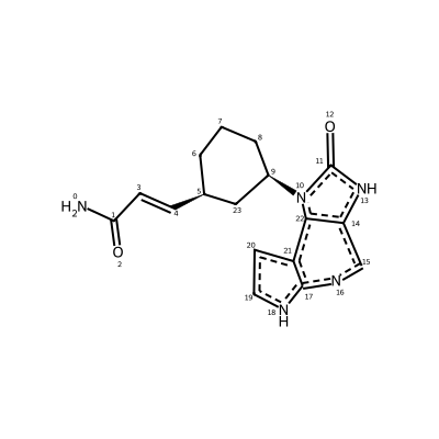 NC(=O)/C=C/[C@H]1CCC[C@@H](n2c(=O)[nH]c3cnc4[nH]ccc4c32)C1